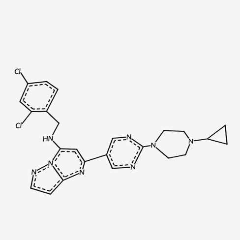 Clc1ccc(CNc2cc(-c3cnc(N4CCN(C5CC5)CC4)nc3)nc3ccnn23)c(Cl)c1